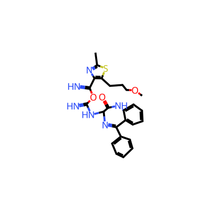 COCCCc1sc(C)nc1C(=N)OC(=N)NC1N=C(c2ccccc2)c2ccccc2NC1=O